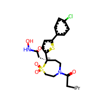 CC(C)CC(=O)N1CC[C@](CC(=O)NO)(c2ccc(-c3ccc(Cl)cc3)s2)S(=O)(=O)CC1